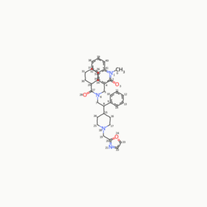 Cn1c(=O)c(CN(CC(c2ccccc2)C2CCN(Cc3ncco3)CC2)C(=O)C2CCCCC2)cc2ccccc21